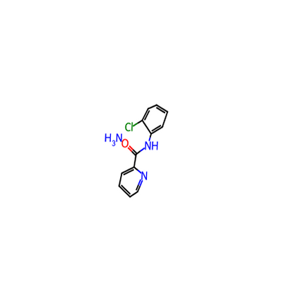 N.O=C(Nc1ccccc1Cl)c1ccccn1